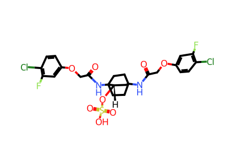 O=C(COc1ccc(Cl)c(F)c1)NC12CCC(NC(=O)COc3ccc(Cl)c(F)c3)(CC1)[C@@H](OS(=O)(=O)O)C2